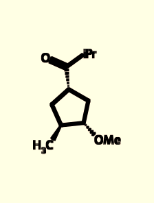 CO[C@H]1C[C@@H](C(=O)C(C)C)C[C@@H]1C